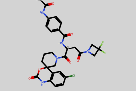 COC(=O)Nc1ccc(C(=O)N[C@@H](CC(=O)N2CC(F)(F)C2)C(=O)N2CCCC3(C2)OC(=O)Nc2ccc(Cl)cc23)cc1